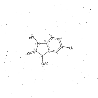 CCCN1C(=O)C(OC(C)=O)c2cc(Cl)ccc21